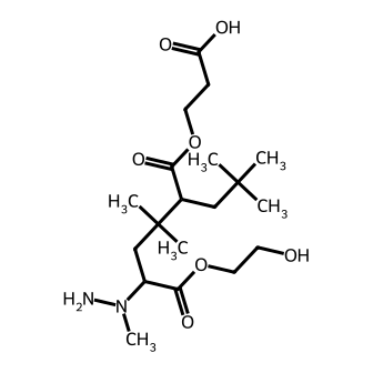 CN(N)C(CC(C)(C)C(CC(C)(C)C)C(=O)OCCC(=O)O)C(=O)OCCO